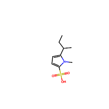 CCC(C)c1ccc(S(=O)(=O)O)n1C